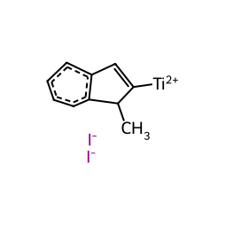 CC1[C]([Ti+2])=Cc2ccccc21.[I-].[I-]